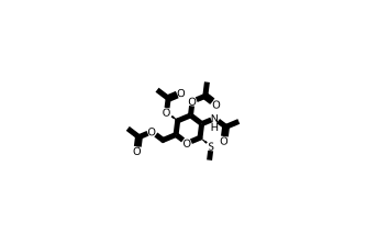 CS[C@@H]1OC(COC(C)=O)[C@H](OC(C)=O)C(OC(C)=O)C1NC(C)=O